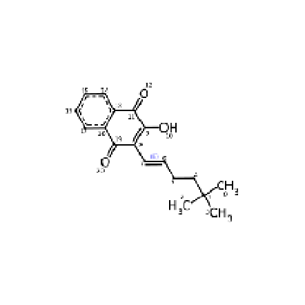 CC(C)(C)CC/C=C/C1=C(O)C(=O)c2ccccc2C1=O